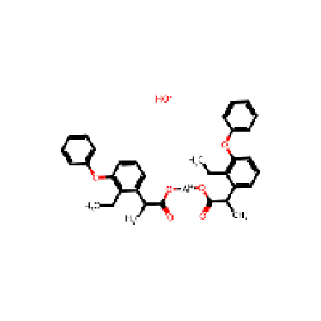 CCc1c(Oc2ccccc2)cccc1C(C)C(=O)[O][Al+][O]C(=O)C(C)c1cccc(Oc2ccccc2)c1CC.[OH-]